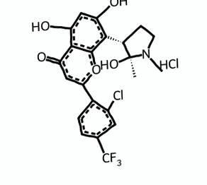 CN1CC[C@@H](c2c(O)cc(O)c3c(=O)cc(-c4ccc(C(F)(F)F)cc4Cl)oc23)[C@]1(C)O.Cl